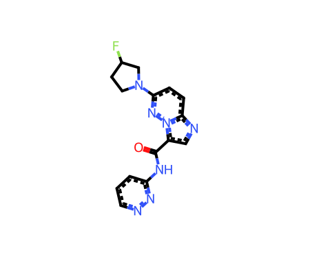 O=C(Nc1cccnn1)c1cnc2ccc(N3CCC(F)C3)nn12